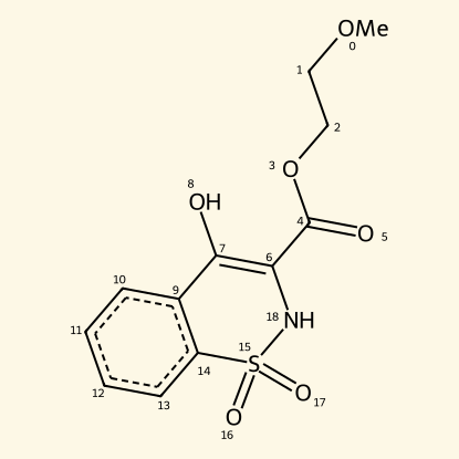 COCCOC(=O)C1=C(O)c2ccccc2S(=O)(=O)N1